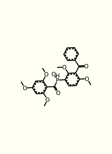 COc1cc(OC)c(C(=O)[PH](=O)c2ccc(OC)c(C(=O)c3ccccc3)c2OC)c(OC)c1